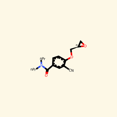 CCCN(CCC)C(=O)c1ccc(OC[C@H]2CO2)c(C#N)c1